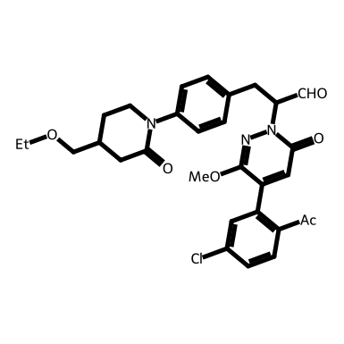 CCOCC1CCN(c2ccc(CC(C=O)n3nc(OC)c(-c4cc(Cl)ccc4C(C)=O)cc3=O)cc2)C(=O)C1